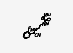 CC(C)(C)OC(=O)NCCNC(C#N)c1ccccc1F